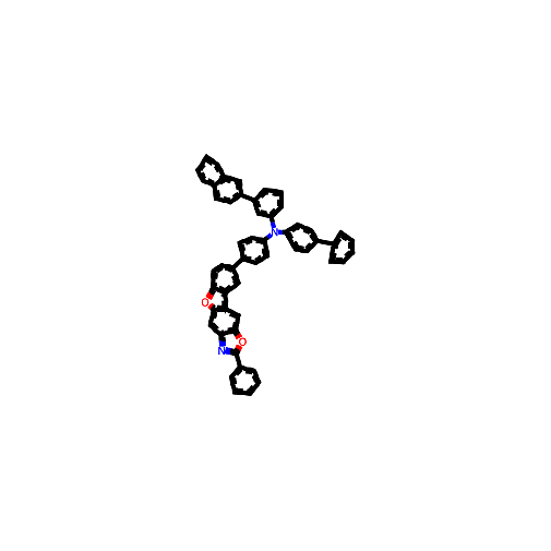 c1ccc(-c2ccc(N(c3ccc(-c4ccc5oc6cc7nc(-c8ccccc8)oc7cc6c5c4)cc3)c3cccc(-c4ccc5ccccc5c4)c3)cc2)cc1